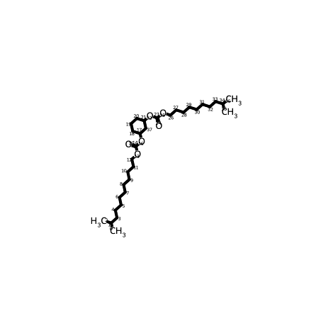 CC(C)CCCCCCCCCCOC(=O)OC1CCCC(OC(=O)OCCCCCCCCC(C)C)C1